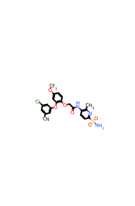 Cc1nc(S(N)(=O)=O)ccc1NC(=O)COc1ccc(OC(F)(F)F)cc1Oc1cc(Cl)cc(C#N)c1